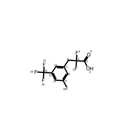 O=C(O)C(F)(F)Cc1cc(I)cc(C(F)(F)F)c1